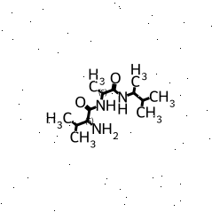 CC(C)C(C)NC(=O)[C@H](C)NC(=O)[C@@H](N)C(C)C